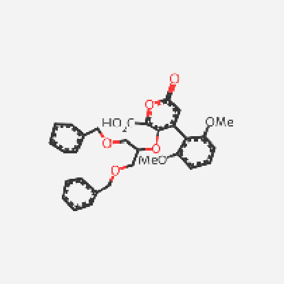 COc1cccc(OC)c1-c1cc(=O)oc(C(=O)O)c1OC(COCc1ccccc1)COCc1ccccc1